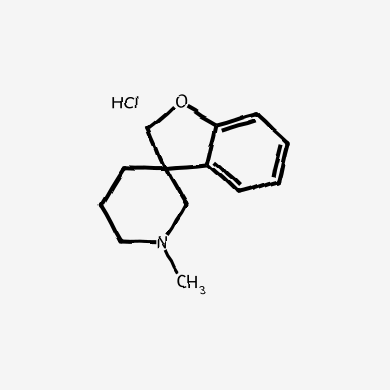 CN1CCCC2(COc3ccccc32)C1.Cl